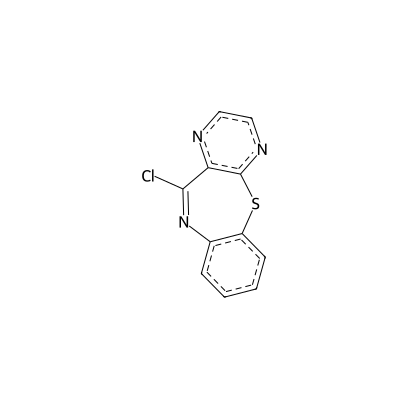 ClC1=Nc2ccccc2Sc2nccnc21